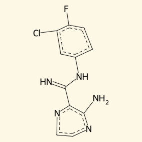 N=C(Nc1ccc(F)c(Cl)c1)c1nccnc1N